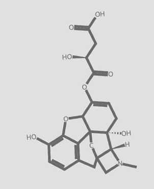 CN1CC23Cc4ccc(O)c5c4C4(C2)C(O5)C(OC(=O)[C@@H](O)CC(=O)O)=CC[C@@]4(O)[C@H]13